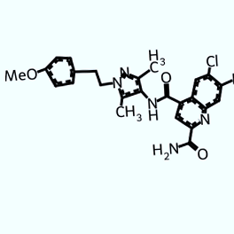 COc1ccc(CCn2nc(C)c(NC(=O)c3cc(C(N)=O)nc4cc(F)c(Cl)cc34)c2C)cc1